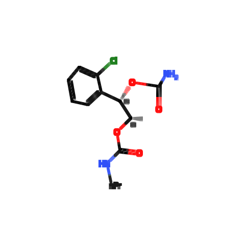 CCCNC(=O)O[C@@H](C)[C@@H](OC(N)=O)c1ccccc1Cl